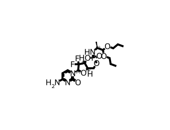 CCCOC(OCCC)[C@H](C)NP1(=O)OC[C@H]2O[C@@H](n3ccc(N)nc3=O)C(F)(F)[C@@H]2O1